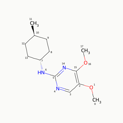 COc1cnc(N[C@H]2CC[C@H](C)CC2)nc1OC